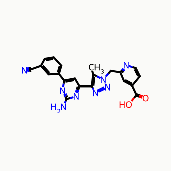 Cc1c(-c2cc(-c3cccc(C#N)c3)nc(N)n2)nnn1Cc1cc(C(=O)O)ccn1